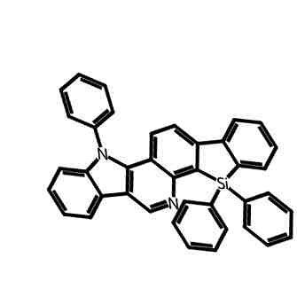 c1ccc(-n2c3ccccc3c3cnc4c5c(ccc4c32)-c2ccccc2[Si]5(c2ccccc2)c2ccccc2)cc1